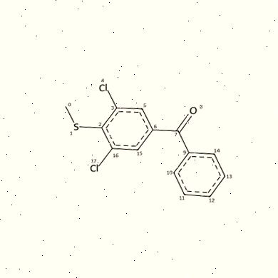 CSc1c(Cl)cc(C(=O)c2ccccc2)cc1Cl